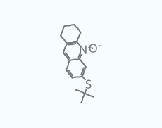 CC(C)(C)Sc1ccc2cc3c([n+]([O-])c2c1)CCCC3